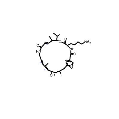 CC1=C\C(O)CC(F)Cc2nc(co2)C(=O)NC(CCCCN)C(=O)OC(C(C)C)C(C)/C=C/C(=O)NC\C=C\1